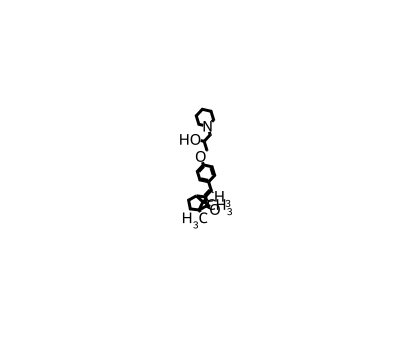 CC12CCC(C(=Cc3ccc(OCC(O)CN4CCCCC4)cc3)C1=O)C2(C)C